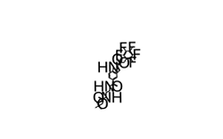 CC(C)(C)OC(=O)NCCNC(=O)c1ccc2[nH]c(C(=O)Oc3c(F)c(F)c(F)c(F)c3F)cc2c1